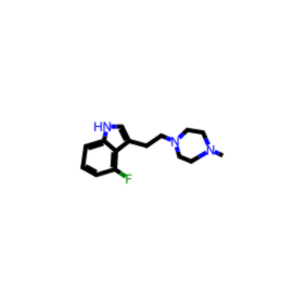 CN1CCN(CCc2c[nH]c3cccc(F)c23)CC1